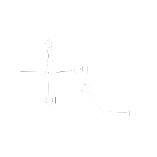 C[As](=O)(O)O.ClCCl